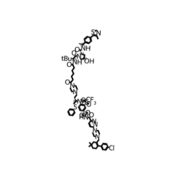 Cc1ncsc1-c1ccc([C@H](C)NC(=O)[C@@H]2C[C@@H](O)CN2C(=O)[C@@H](NC(=O)CCCCCC(=O)N2CCN(CC[C@H](CSc3ccccc3)Nc3ccc(S(=O)(=O)NC(=O)c4ccc(N5CCN(CC6=C(c7ccc(Cl)cc7)CCC(C)(C)C6)CC5)nn4)cc3S(=O)(=O)C(F)(F)F)CC2)C(C)(C)C)cc1